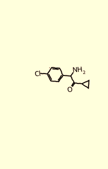 NC(C(=O)C1CC1)c1c[c]c(Cl)cc1